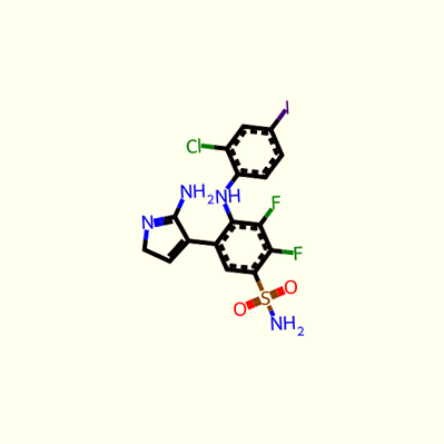 NC1=NCC=C1c1cc(S(N)(=O)=O)c(F)c(F)c1Nc1ccc(I)cc1Cl